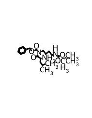 CC(C)C[C@H](N)C(=O)N(CCCCNC(=O)OC(C)(C)C)C(=O)OCc1ccccc1